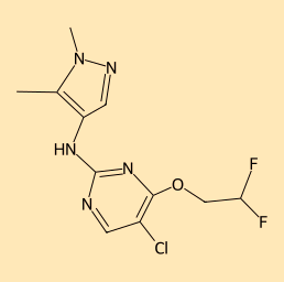 Cc1c(Nc2ncc(Cl)c(OCC(F)F)n2)cnn1C